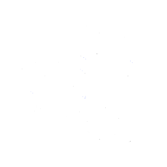 CN1CCCc2cc(N=Nc3cc([N+](=O)[O-])ccc3O)c(NC(=O)c3ccc(F)cc3)cc21